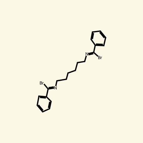 BrC(=NCCCCCCN=C(Br)c1ccccc1)c1ccccc1